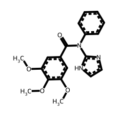 COc1cc(C(=O)N(c2ccccc2)c2ncc[nH]2)cc(OC)c1OC